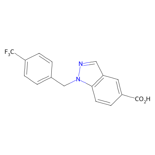 O=C(O)c1ccc2c(cnn2Cc2ccc(C(F)(F)F)cc2)c1